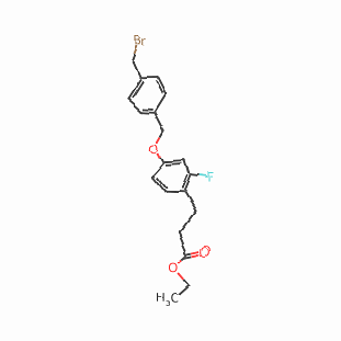 CCOC(=O)CCc1ccc(OCc2ccc(CBr)cc2)cc1F